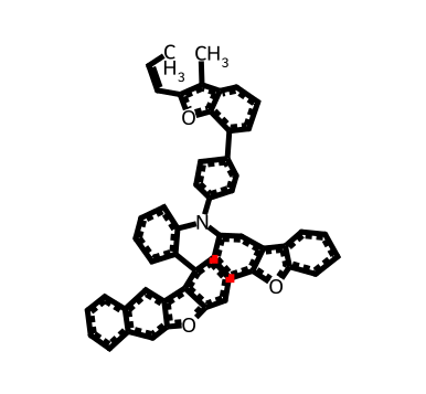 C/C=C\c1oc2c(-c3ccc(N(c4ccc5oc6ccccc6c5c4)c4ccccc4-c4cccc5oc6cc7ccccc7cc6c45)cc3)cccc2c1C